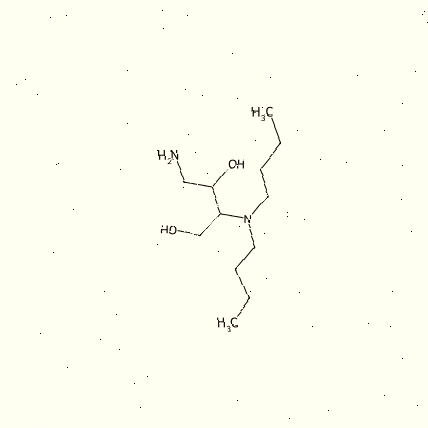 CCCCN(CCCC)C(CO)C(O)CN